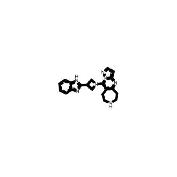 c1ccc2[nH]c(C3CN(c4c5c(nc6ccnn46)CCNCC5)C3)nc2c1